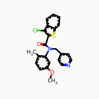 COc1ccc(C)c(N(Cc2ccncc2)C(=O)c2sc3ccccc3c2Cl)c1